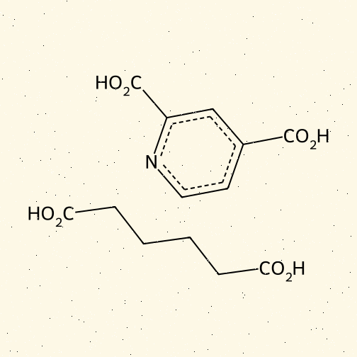 O=C(O)CCCCC(=O)O.O=C(O)c1ccnc(C(=O)O)c1